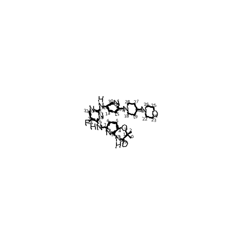 CC1(C)Oc2ccc(Nc3nc(Nc4ccc(N5CCC(N6CCOCC6)CC5)nc4)ncc3F)nc2NC1=O